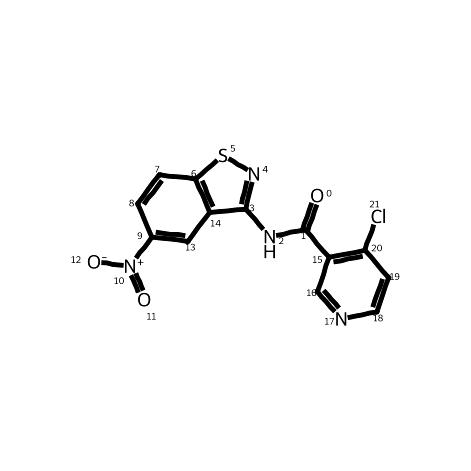 O=C(Nc1nsc2ccc([N+](=O)[O-])cc12)c1cnccc1Cl